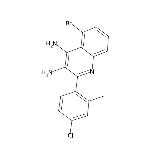 Cc1cc(Cl)ccc1-c1nc2cccc(Br)c2c(N)c1N